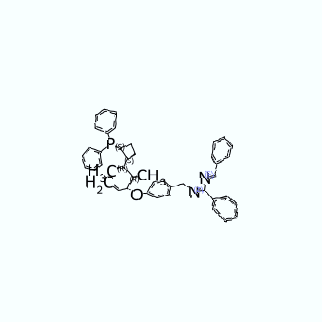 C=CC(Oc1ccc(C/N=C(\N=C\c2ccccc2)c2ccccc2)cc1)[C@H](C)[C@@H](C)[C@@H]1CC[C@@H]1P(c1ccccc1)c1ccccc1